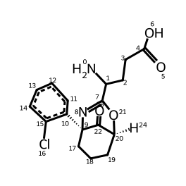 NC(CCC(=O)O)C1=N[C@]2(c3ccccc3Cl)CCC[C@H](O1)C2=O